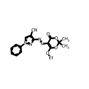 CCOC1=C(/N=N/c2nn(-c3ccccc3)cc2C#N)C(=O)OC(C)(C)O1